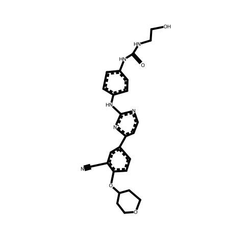 N#Cc1cc(-c2ccnc(Nc3ccc(NC(=O)NCCO)cc3)n2)ccc1OC1CCOCC1